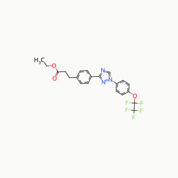 CCOC(=O)CCc1ccc(-c2ncn(-c3ccc(OC(F)(F)C(F)(F)F)cc3)n2)cc1